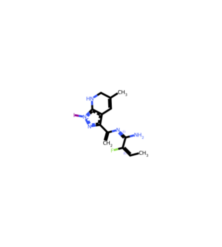 C=C(/N=C(N)\C(F)=C/C)c1nn(I)c2c1C=C(C)CN2